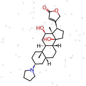 C[C@]12CC[C@H](N3CCCC3)C[C@H]1CC[C@@H]1[C@@H]2C[C@@H](O)[C@]2(C)[C@@H](C3=CC(=O)OC3)CC[C@]12O